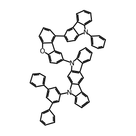 c1ccc(-c2cc(-c3ccccc3)cc(-n3c4ccccc4c4cc5c6ccccc6n(-c6ccc7oc8cccc(-c9ccc%10c(c9)c9ccccc9n%10-c9ccccc9)c8c7c6)c5cc43)c2)cc1